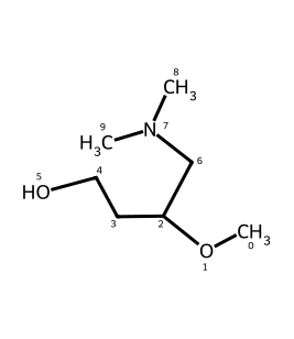 COC(CCO)CN(C)C